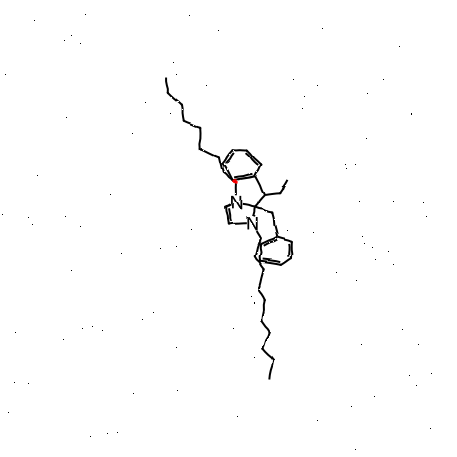 CCCCCCCCCCN1C=CN(CCCCCCCCC)C1(Cc1ccccc1)C(CC)c1ccccc1